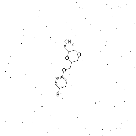 C=CC1COCC(COc2ccc(Br)cc2)O1